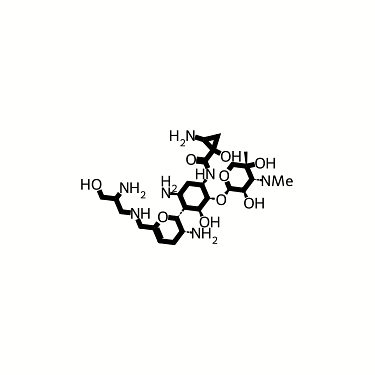 CN[C@@H]1[C@@H](O)[C@@H](O[C@H]2[C@H](NC(=O)C3(O)CC3N)C[C@H](N)C([C@H]3OC(CNCC(N)CO)=CC[C@H]3N)[C@@H]2O)OC[C@]1(C)O